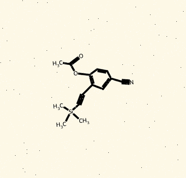 CC(=O)Oc1ccc(C#N)cc1C#C[Si](C)(C)C